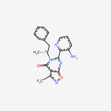 C[C@H](Cc1ccccc1)n1c(-c2ncccc2N)nc2onc(C(F)(F)F)c2c1=O